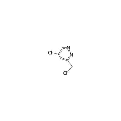 ClCc1cc(Cl)cnn1